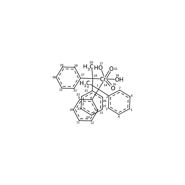 C[C](c1ccccc1)(c1ccccc1)[Cr](=[O])(=[O])([OH])([OH])[C](C)(c1ccccc1)c1ccccc1